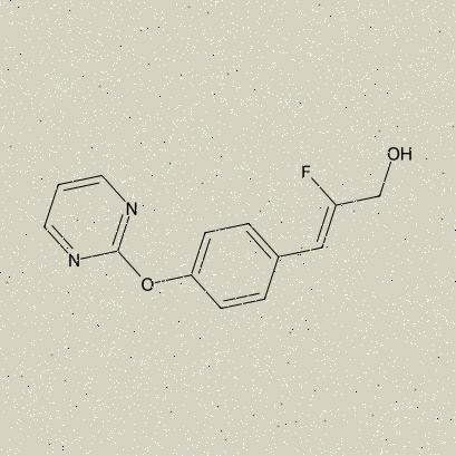 OC/C(F)=C/c1ccc(Oc2ncccn2)cc1